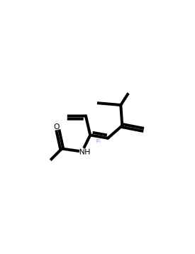 C=C/C(=C\C(=C)C(C)C)NC(C)=O